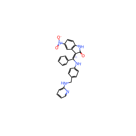 O=C1Nc2ccc([N+](=O)[O-])cc2/C1=C(/Nc1ccc(CNc2ccccn2)cc1)c1ccccc1